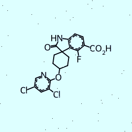 O=C(O)c1ccc2c(c1F)C1(CCC(Oc3ncc(Cl)cc3Cl)CC1)C(=O)N2